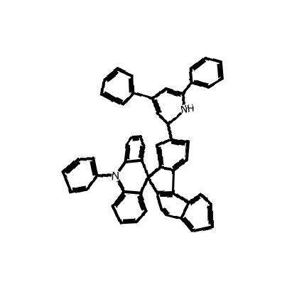 C1=C(c2ccccc2)C=C(c2ccccc2)NC1c1ccc2c(c1)C1(c3ccccc3N(c3ccccc3)c3ccccc31)c1ccc3ccccc3c1-2